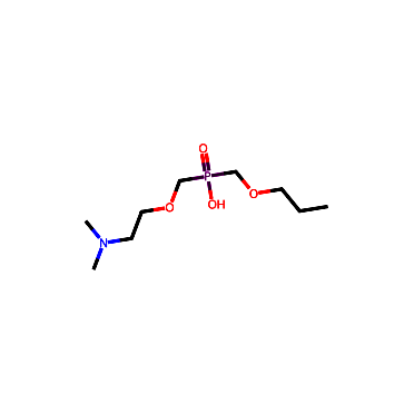 CCCOCP(=O)(O)COCCN(C)C